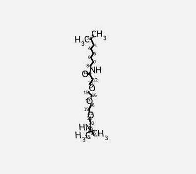 CC(C)CCCCCCNC(=O)CCOCCOCCOCCNC(C)C